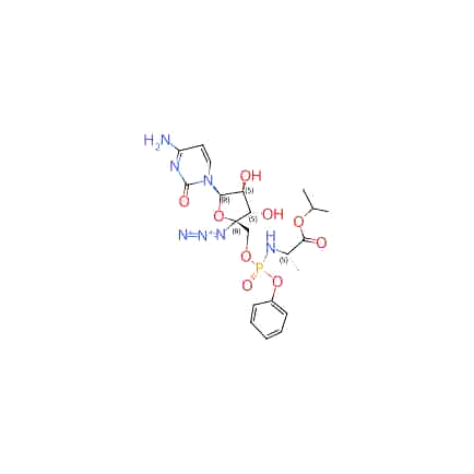 CC(C)OC(=O)[C@H](C)NP(=O)(OC[C@@]1(N=[N+]=[N-])O[C@@H](n2ccc(N)nc2=O)[C@@H](O)[C@@H]1O)Oc1ccccc1